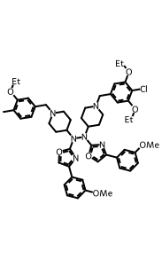 CCOc1cc(CN2CCC(N(c3nc(-c4cccc(OC)c4)co3)N(c3nc(-c4cccc(OC)c4)co3)C3CCN(Cc4cc(OCC)c(Cl)c(OCC)c4)CC3)CC2)ccc1C